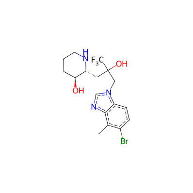 Cc1c(Br)ccc2c1ncn2CC(O)(C[C@H]1NCCC[C@@H]1O)C(F)(F)F